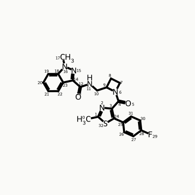 Cc1nc(C(=O)N2CCC2CNC(=O)c2nn(C)c3ccccc23)c(-c2ccc(F)cc2)s1